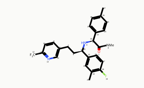 CNC(=O)[C@@H](N[C@H](CCc1ccc(C(F)(F)F)nc1)c1ccc(F)c(C)c1)c1ccc(C)cc1